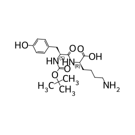 CC(C)(C)OC(=O)N[C@@H](Cc1ccc(O)cc1)C(=O)N[C@H](CCCCN)C(=O)O